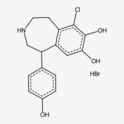 Br.Oc1ccc(C2CNCCc3c2cc(O)c(O)c3Cl)cc1